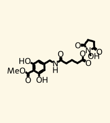 COC(=O)c1c(O)cc(CNC(=O)CCCC(=O)O[N+]2(O)C(=O)CCC2=O)cc1O